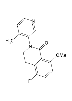 COc1ccc(F)c2c1C(=O)N(c1cnccc1C)CC2